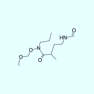 [CH2]OCON(CCC)C(=O)C(C)CCN[C]=O